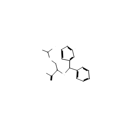 O=C(O)C(COC(F)F)NC(c1ccccc1)c1ccccc1